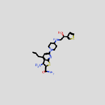 CCCc1cc(N2CCC(NCC(O)c3ccsc3)CC2)nc2c1C(N)C(C(N)=O)S2